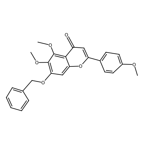 COc1ccc(-c2cc(=O)c3c(OC)c(OC)c(OCc4ccccc4)cc3o2)cc1